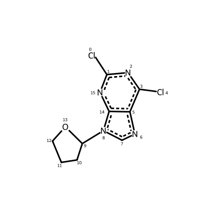 Clc1nc(Cl)c2ncn(C3CCCO3)c2n1